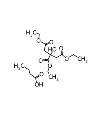 CCCC(=O)O.CCOC(=O)CC(O)(CC(=O)OCC)C(=O)OCC